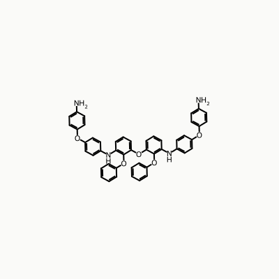 Nc1ccc(Oc2ccc(Nc3cccc(Oc4cccc(Nc5ccc(Oc6ccc(N)cc6)cc5)c4Oc4ccccc4)c3Oc3ccccc3)cc2)cc1